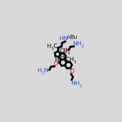 CCCCNCCCC(C)C1CC[C@H]2C3[C@H](OCCCN)CC4C[C@H](OCCCN)CC[C@]4(C)[C@H]3C[C@H](OCCCN)[C@]12C